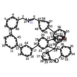 C(=N\Cc1cccc(-c2cccc(-c3cccc(-c4ccc5c(c4)C4(c6ccccc6Oc6ccccc64)c4ccccc4-5)c3)c2)c1)/c1ccc(-c2ccccc2)cc1